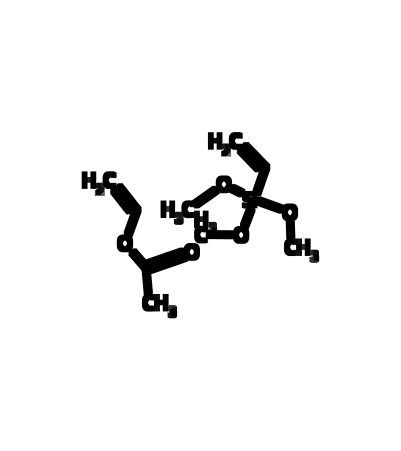 C=COC(C)=O.C=C[Si](OC)(OC)OC